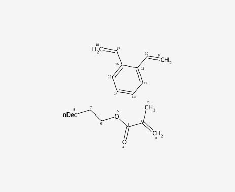 C=C(C)C(=O)OCCCCCCCCCCCC.C=Cc1ccccc1C=C